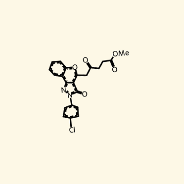 COC(=O)CCC(=O)Cc1oc2ccccc2c2nn(-c3ccc(Cl)cc3)c(=O)c1-2